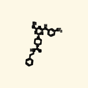 CCOc1nc(Nc2cccc(C(F)(F)F)c2)nc(N2CCN(C(=O)NCCc3ccccc3)CC2)n1